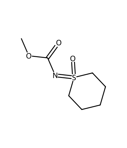 COC(=O)N=S1(=O)CCCCC1